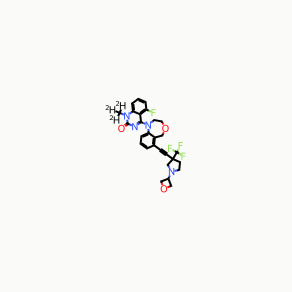 [2H]C([2H])([2H])n1c(=O)nc(N2CCOCc3c(C#CC4(C(F)(F)F)CCN(C5COC5)C4)cccc32)c2c(F)cccc21